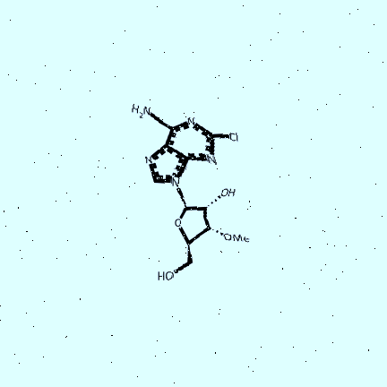 CO[C@H]1[C@@H](O)[C@H](n2cnc3c(N)nc(Cl)nc32)O[C@@H]1CO